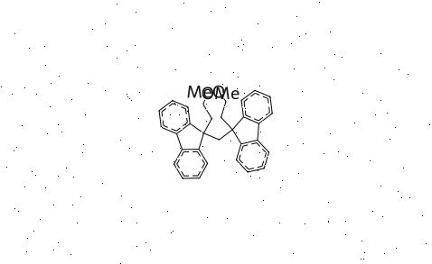 COCCC1(CC2(CCOC)c3ccccc3-c3ccccc32)c2ccccc2-c2ccccc21